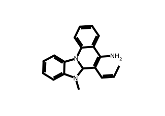 C/C=C\C1=C(N)c2ccccc2N2c3ccccc3N(C)C12